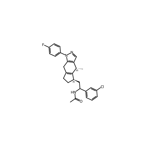 CC(=O)NC(C[C@H]1CCC2=C1[C@@H](C)c1cnn(-c3ccc(F)cc3)c1C2)c1cccc(Cl)c1